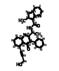 Cc1nn2cccnc2c1C(=O)NC(C)c1nc2cccc(C#CCO)c2c(=O)n1-c1ccccc1